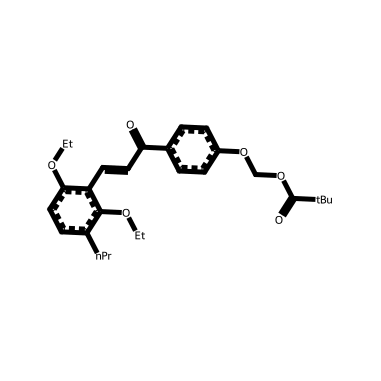 CCCc1ccc(OCC)c(C=CC(=O)c2ccc(OCOC(=O)C(C)(C)C)cc2)c1OCC